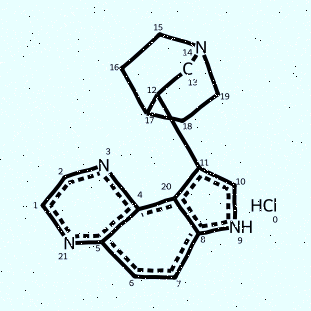 Cl.c1cnc2c(ccc3[nH]cc(C4CN5CCC4CC5)c32)n1